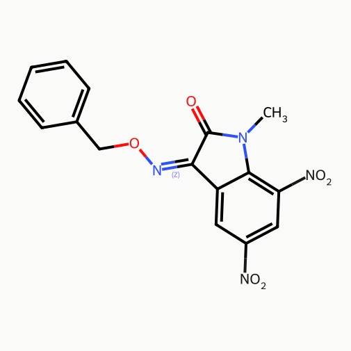 CN1C(=O)/C(=N\OCc2ccccc2)c2cc([N+](=O)[O-])cc([N+](=O)[O-])c21